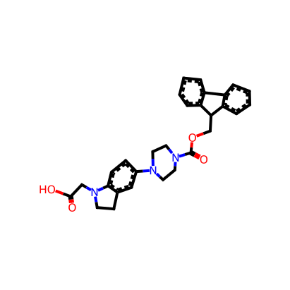 O=C(O)CN1CCc2cc(N3CCN(C(=O)OCC4c5ccccc5-c5ccccc54)CC3)ccc21